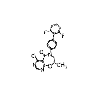 CC1CN(c2ccc(-c3c(F)cccc3F)cc2)C(=O)c2c(Cl)ncnc2O1